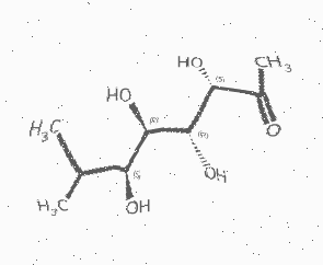 CC(=O)[C@@H](O)[C@H](O)[C@H](O)[C@@H](O)C(C)C